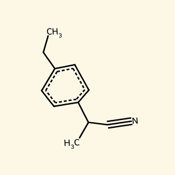 CCc1ccc(C(C)C#N)cc1